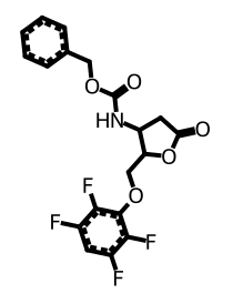 O=C1CC(NC(=O)OCc2ccccc2)C(COc2c(F)c(F)cc(F)c2F)O1